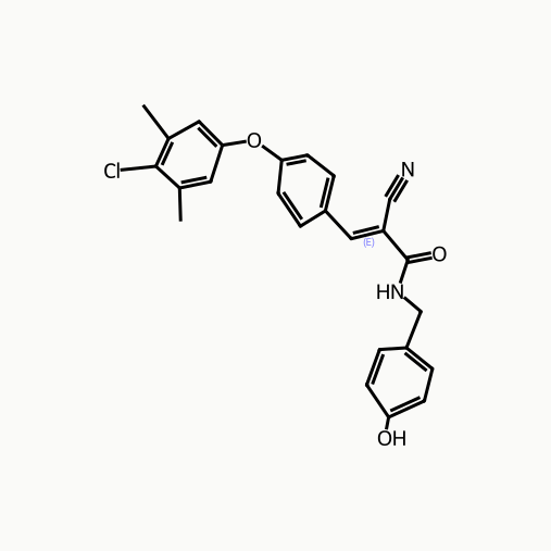 Cc1cc(Oc2ccc(/C=C(\C#N)C(=O)NCc3ccc(O)cc3)cc2)cc(C)c1Cl